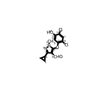 Cn1nc(C2CC2)c(C=O)c1Oc1cc(O)c(Cl)cc1Cl